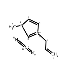 C=CC[n+]1ccn(C)c1.[N-]=[N+]=[N-]